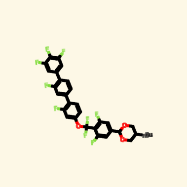 CCCCC1COC(c2cc(F)c(C(F)(F)Oc3ccc(-c4ccc(-c5cc(F)c(F)c(F)c5)c(F)c4)c(F)c3)c(F)c2)OC1